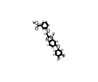 COC(=O)c1cccc(OCc2nc3ccc(Oc4ccc(F)c(F)c4)cc3n2C)c1